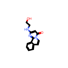 O=c1cc(NCCO)nc2c3ccccc3ccn12